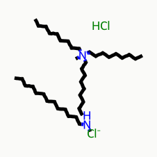 CCCCCCCCCCCCCNC.CCCCCCCCC[N+](C)(CCCCCCCCC)CCCCCCCCC.Cl.[Cl-]